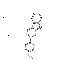 Cc1ccc(-c2ccc3c(c2)oc2ccncc23)cc1